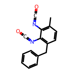 Cc1ccc(Cc2ccccc2)c(N=C=O)c1N=C=O